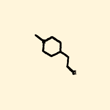 CN1CCC(CCCl)CC1